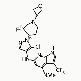 CNc1cc(Nc2cnn([C@H]3CCN(C4COC4)C[C@@H]3F)c2Cl)nc2[nH]cc(C(F)(F)F)c12